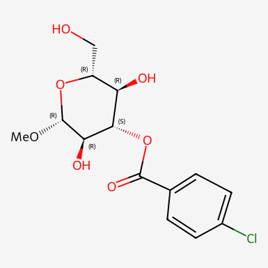 CO[C@@H]1O[C@H](CO)[C@@H](O)[C@H](OC(=O)c2ccc(Cl)cc2)[C@H]1O